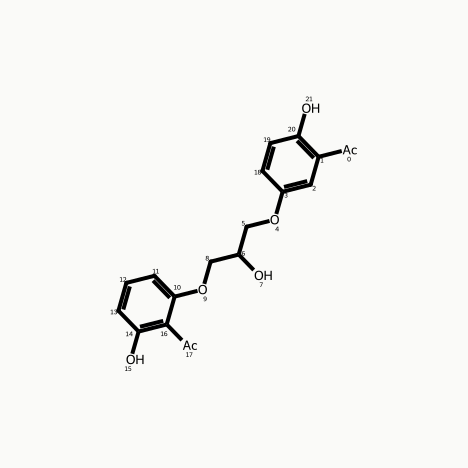 CC(=O)c1cc(OCC(O)COc2cccc(O)c2C(C)=O)ccc1O